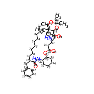 CCCCCCCCCCC(Cc1ccccc1)C(=O)NC1CCCCC1OC(=O)CCNC(=O)C1OC(C)(C)OCC1(C)C